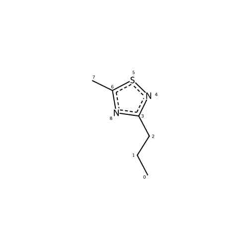 CCCc1nsc(C)n1